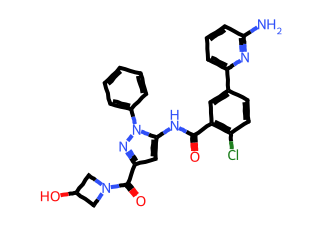 Nc1cccc(-c2ccc(Cl)c(C(=O)Nc3cc(C(=O)N4CC(O)C4)nn3-c3ccccc3)c2)n1